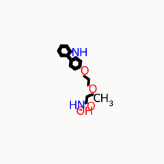 CC(CC(=O)NO)OCCCOc1ccc2c(c1)[nH]c1ccccc12